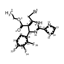 CCOC(=O)C1=C(CBr)NC(c2nccs2)=NC1c1ccc(F)c(F)c1F